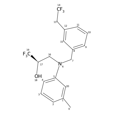 Cc1cccc(N(Cc2cccc(CC(F)(F)F)c2)C[C@@H](O)C(F)(F)F)c1